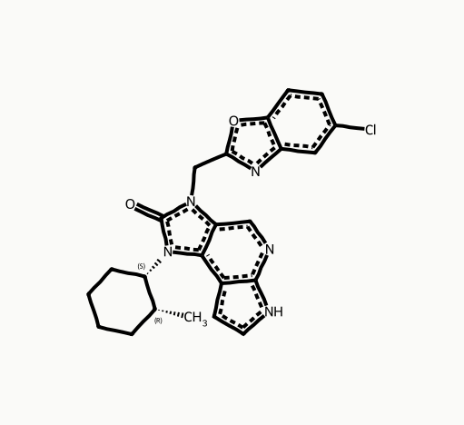 C[C@@H]1CCCC[C@@H]1n1c(=O)n(Cc2nc3cc(Cl)ccc3o2)c2cnc3[nH]ccc3c21